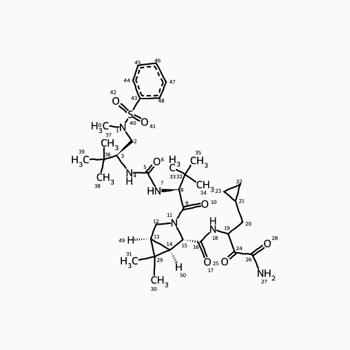 CN(C[C@@H](NC(=O)N[C@H](C(=O)N1C[C@H]2[C@@H]([C@H]1C(=O)NC(CC1CC1)C(=O)C(N)=O)C2(C)C)C(C)(C)C)C(C)(C)C)S(=O)(=O)c1ccccc1